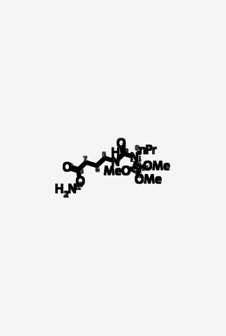 CCCN(C(=O)NCCCC(=O)ON)[Si](OC)(OC)OC